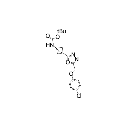 CC(C)(C)OC(=O)NC12CC(c3nnc(COc4ccc(Cl)cc4)o3)(C1)C2